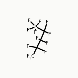 FC(F)(F)C(F)(F)C(F)(F)C(F)(F)P(F)(F)(F)F